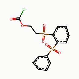 O=C(Cl)OCCS(=O)(=O)c1ccccc1S(=O)(=O)c1ccccc1